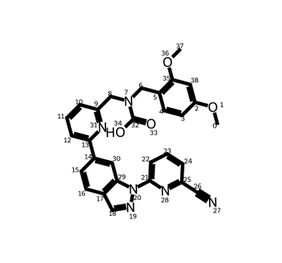 COc1ccc(CN(Cc2cccc(-c3ccc4cnn(-c5cccc(C#N)n5)c4c3)n2)C(=O)O)c(OC)c1